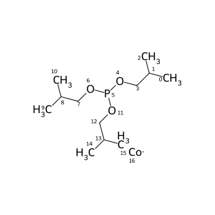 CC(C)COP(OCC(C)C)OCC(C)C.[Co]